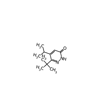 CC(C)c1cc(=O)[nH]nc1C(C)(C)C